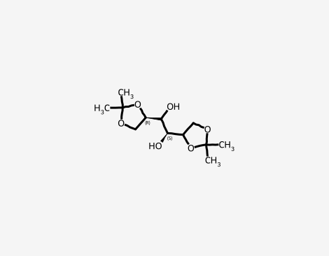 CC1(C)OCC([C@@H](O)C(O)[C@H]2COC(C)(C)O2)O1